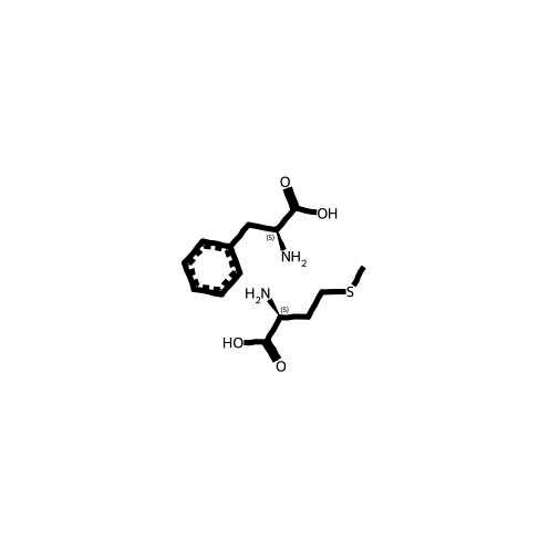 CSCC[C@H](N)C(=O)O.N[C@@H](Cc1ccccc1)C(=O)O